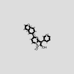 [O-][n+]1c(O)c(-c2cccnc2)c2nc(-c3ccc4occc4c3)ccn21